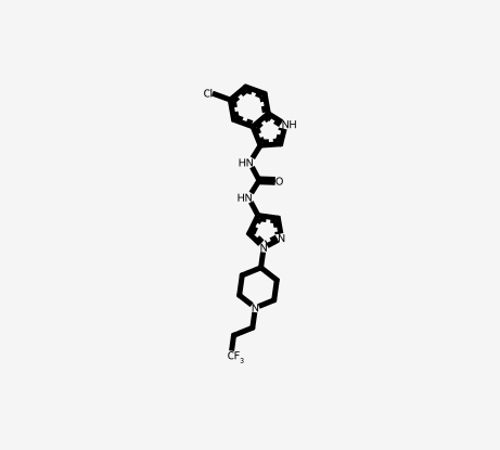 O=C(Nc1cnn(C2CCN(CCC(F)(F)F)CC2)c1)Nc1c[nH]c2ccc(Cl)cc12